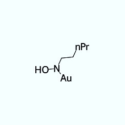 CCCCC[N](O)[Au]